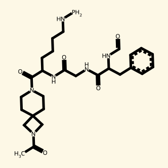 CC(=O)N1CC2(CCN(C(=O)C(CCCCNP)NC(=O)CNC(=O)C(Cc3ccccc3)NC=O)CC2)C1